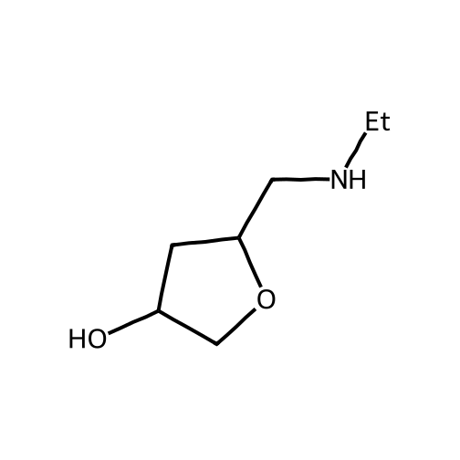 CCNCC1CC(O)CO1